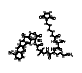 CC[C@@]1(OC(=O)CC(C)(C)CNC(=O)[C@H](CCCN)NC(=O)[C@@H](NC(=O)CCCCCN2C(=O)C=CC2=O)C(C)C)C(=O)OCc2c1cc1n(c2=O)Cc2cc3c(Br)cccc3nc2-1